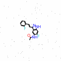 CC(=O)Nc1cc2c(/C=C/c3ccccc3F)n[nH]c2cc1F